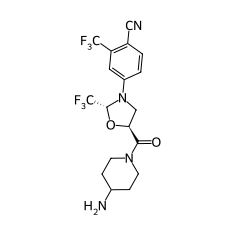 N#Cc1ccc(N2C[C@@H](C(=O)N3CCC(N)CC3)O[C@@H]2C(F)(F)F)cc1C(F)(F)F